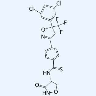 O=C1NOC[C@H]1NC(=S)c1ccc(C2=NOC(c3cc(Cl)cc(Cl)c3)(C(F)(F)F)C2)cc1